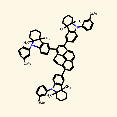 COc1cccc(N2c3ccc(-c4ccc5ccc6c(-c7ccc8c(c7)C7(C)CCCCC7(C)N8c7cccc(OC)c7)cc(-c7ccc8c(c7)C7(C)CCCCC7(C)N8c7cccc(OC)c7)c7ccc4c5c67)cc3C3(C)CCCCC23C)c1